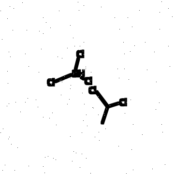 CC(Cl)Cl.Cl[SiH](Cl)Cl